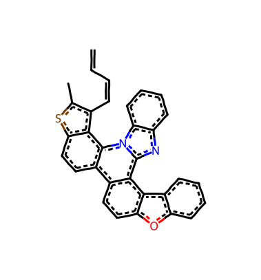 C=C/C=C\c1c(C)sc2ccc3c4ccc5oc6ccccc6c5c4c4nc5ccccc5n4c3c12